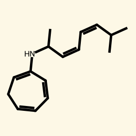 CC(C)/C=C\C=C/C(C)NC1=CCC=CC=C1